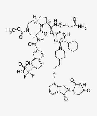 COC(=O)N1CC[C@H]2CC[C@@H](C(=O)N[C@@H](CCC(N)=O)C(=O)N[C@H](C(=O)N3CCC(CCC#Cc4cccc5c4CN(C4CCC(=O)NC4=O)C5=O)CC3)C3CCCCC3)N2C(=O)[C@@H](NC(=O)c2ccc3ccc(C(F)(F)P(=O)(O)O)cc3c2)C1